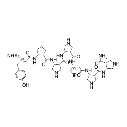 CC(=O)N[C@H](CC(=O)NC1CCCC1C(=O)NC1CNCC1C(=O)NC1CNCC1C(=O)N[C@H](CC(=O)NC1CNCC1C(=O)NC1CNCC1C(N)=O)CC(C)C)Cc1ccc(O)cc1